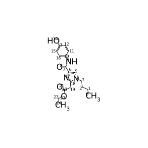 CCCCn1cc(C(=O)Nc2ccc(O)cc2)nc1CC(=O)OCC